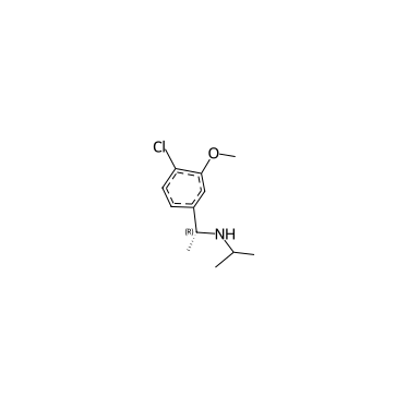 COc1cc([C@@H](C)NC(C)C)ccc1Cl